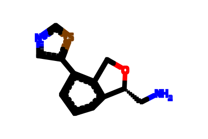 NC[C@H]1OCc2c(-c3cncs3)cccc21